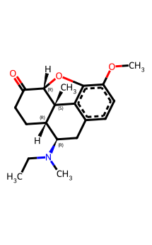 CCN(C)[C@@H]1Cc2ccc(OC)c3c2[C@@]2(C)[C@@H](O3)C(=O)CC[C@@H]12